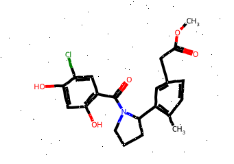 COC(=O)Cc1ccc(C)c(C2CCCN2C(=O)c2cc(Cl)c(O)cc2O)c1